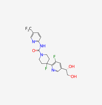 O=C(Nc1ccc(C(F)(F)F)cn1)N1CCC(F)(c2ncc([C@H](O)CO)cc2F)CC1